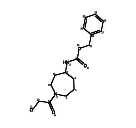 O=C(NC1CCCN(C(=O)CCl)CC1)OCc1ccccc1